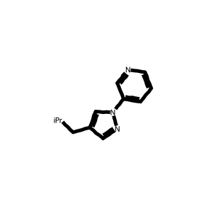 CC(C)Cc1cnn(-c2cccnc2)c1